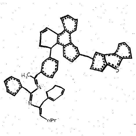 CCC/C=C(/N=C(\N=C(/C)c1cccc(C2CC=Cc3c2c2ccc(-c4ccc5sc6ccccc6c5c4)cc2c2ccccc32)c1)c1ccccc1)C1=CC=CCC1